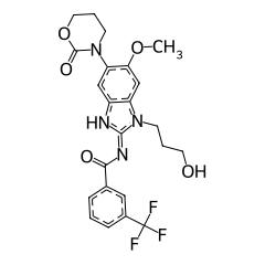 COc1cc2c(cc1N1CCCOC1=O)[nH]/c(=N\C(=O)c1cccc(C(F)(F)F)c1)n2CCCO